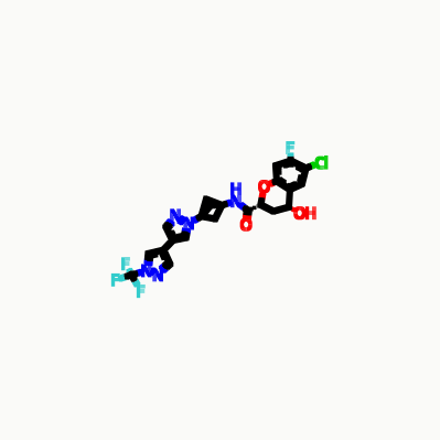 O=C(NC12CC(n3cc(-c4cnn(C(F)(F)F)c4)cn3)(C1)C2)[C@H]1C[C@@H](O)c2cc(Cl)c(F)cc2O1